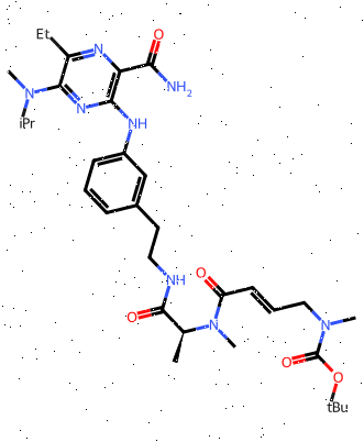 CCc1nc(C(N)=O)c(Nc2cccc(CCNC(=O)[C@H](C)N(C)C(=O)/C=C/CN(C)C(=O)OC(C)(C)C)c2)nc1N(C)C(C)C